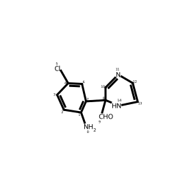 Nc1ccc(Cl)cc1C1(C=O)C=NC=CN1